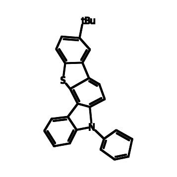 CC(C)(C)c1ccc2sc3c(ccc4c3c3ccccc3n4-c3ccccc3)c2c1